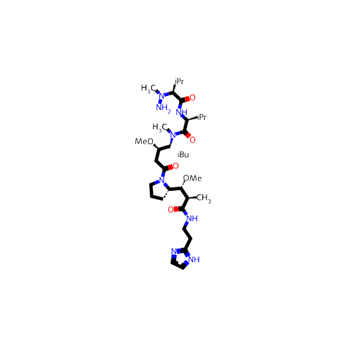 CC[C@H](C)[C@@H]([C@@H](CC(=O)N1CCC[C@H]1[C@H](OC)[C@@H](C)C(=O)NCCc1ncc[nH]1)OC)N(C)C(=O)[C@@H](NC(=O)[C@H](C(C)C)N(C)N)C(C)C